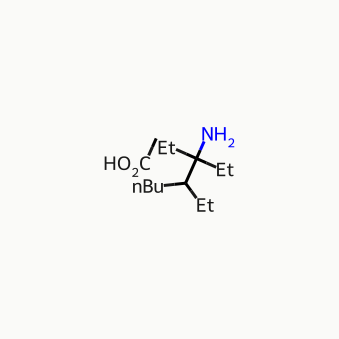 CC(=O)O.CCCCC(CC)C(N)(CC)CC